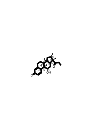 CCC(=O)[C@@]1(C)[C@H](C)C[C@H]2[C@@H]3CCC4=CC(=O)C=C[C@]4(C)[C@@]3(F)[C@@H](O)C[C@@]21C